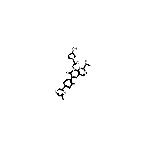 CNc1ncc2cc(-c3ccc(-c4cncc(C)n4)cc3Cl)c(=O)n(CC(=O)N3CCC(O)C3)c2n1